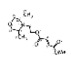 COC(=O)C=CC(=O)OCCN1[C@@H](C)COC[C@@H]1C